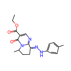 CCOC(=O)c1cnc2n(c1=O)C(C)CCC2=NNc1ccc(C)cc1